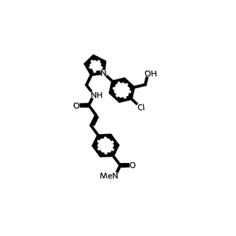 CNC(=O)c1ccc(/C=C/C(=O)NCc2cccn2-c2ccc(Cl)c(CO)c2)cc1